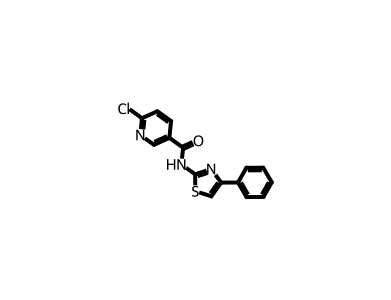 O=C(Nc1nc(-c2ccccc2)cs1)c1ccc(Cl)nc1